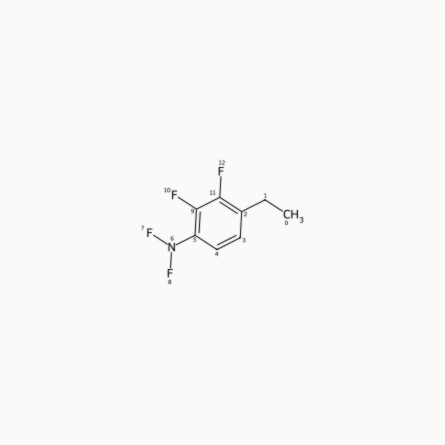 CCc1ccc(N(F)F)c(F)c1F